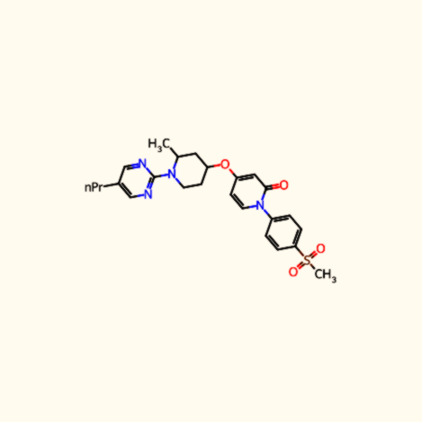 CCCc1cnc(N2CCC(Oc3ccn(-c4ccc(S(C)(=O)=O)cc4)c(=O)c3)CC2C)nc1